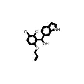 C=CCOc1ccc(Cl)c(Cl)c1C(O)c1ccc2cc[nH]c2c1